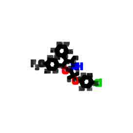 CC(NC(=O)C(C)(C)Oc1ccc(Cl)cc1)C(Cc1ccc(C(F)(F)F)cc1)c1ccccc1